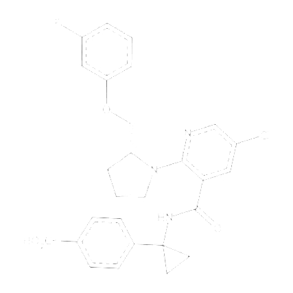 O=C(O)c1ccc(C2(NC(=O)c3cc(Cl)cnc3N3CCC[C@@H]3COc3cccc(F)c3)CC2)cc1